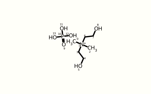 C[N+](C)(CCO)CCO.O=P(O)(O)O